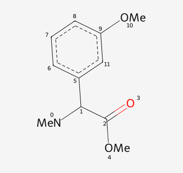 CNC(C(=O)OC)c1cccc(OC)c1